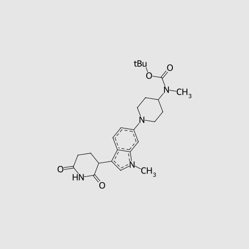 CN(C(=O)OC(C)(C)C)C1CCN(c2ccc3c(C4CCC(=O)NC4=O)cn(C)c3c2)CC1